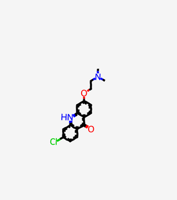 CN(C)CCOc1ccc2c(=O)c3ccc(Cl)cc3[nH]c2c1